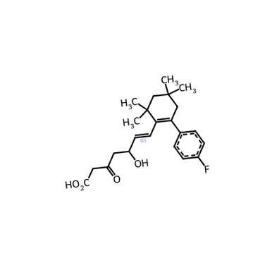 CC1(C)CC(c2ccc(F)cc2)=C(/C=C/C(O)CC(=O)CC(=O)O)C(C)(C)C1